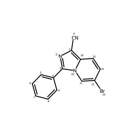 N#Cc1nc(-c2ccccc2)n2cc(Br)ccc12